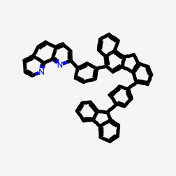 c1cc(-c2ccc3ccc4cccnc4c3n2)cc(-c2cc3c(c4ccccc24)Cc2cccc(-c4ccc(C5c6ccccc6-c6ccccc65)cc4)c2-3)c1